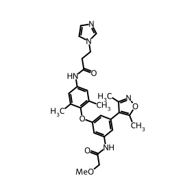 COCC(=O)Nc1cc(Oc2c(C)cc(NC(=O)CCn3ccnc3)cc2C)cc(-c2c(C)noc2C)c1